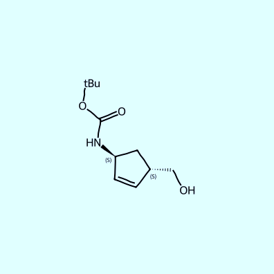 CC(C)(C)OC(=O)N[C@@H]1C=C[C@@H](CO)C1